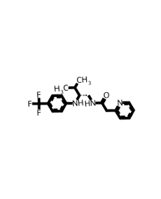 CC(C)[C@H](CNC(=O)Cc1ccccn1)Nc1ccc(C(F)(F)F)cc1